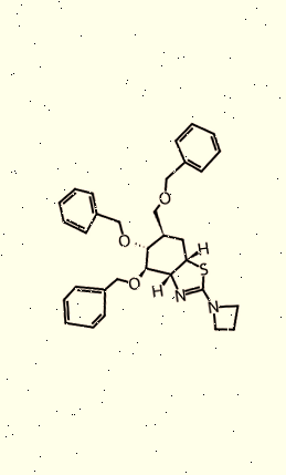 c1ccc(COC[C@H]2C[C@@H]3SC(N4CCC4)=N[C@@H]3[C@@H](OCc3ccccc3)[C@@H]2OCc2ccccc2)cc1